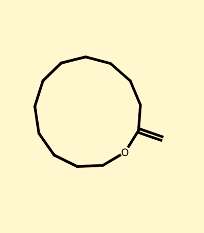 C=C1CCCCCCCCCCCO1